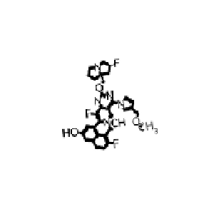 C#Cc1c(F)ccc2cc(O)cc(-c3ncc4c(-n5ccc(COC)c5)nc(OC[C@@]56CCCN5C[C@H](F)C6)nc4c3F)c12